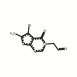 Cc1sc2ncn(CC=O)c(=O)c2c1Br